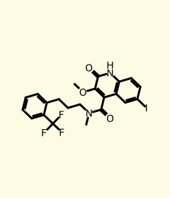 COc1c(C(=O)N(C)CCCc2ccccc2C(F)(F)F)c2cc(I)ccc2[nH]c1=O